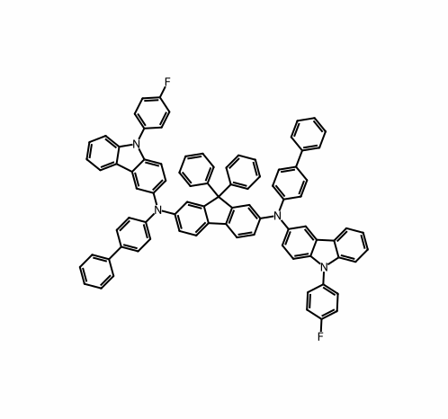 Fc1ccc(-n2c3ccccc3c3cc(N(c4ccc(-c5ccccc5)cc4)c4ccc5c(c4)C(c4ccccc4)(c4ccccc4)c4cc(N(c6ccc(-c7ccccc7)cc6)c6ccc7c(c6)c6ccccc6n7-c6ccc(F)cc6)ccc4-5)ccc32)cc1